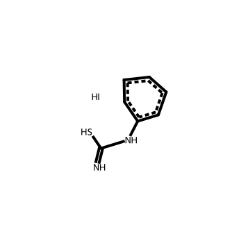 I.N=C(S)Nc1ccccc1